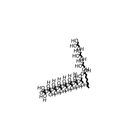 CCCCCCCC(=O)O.OCC(O)CO.OCC(O)CO.OCC(O)CO.OCC(O)CO.OCC(O)CO.OCC(O)CO.OCC(O)CO.OCC(O)CO.OCC(O)CO.OCC(O)CO.OCC(O)CO